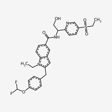 CCn1c(Cc2ccc(OC(F)F)cc2)cc2cc(C(=O)NC(CO)c3ccc(S(=O)(=O)CC)cn3)ccc21